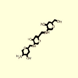 NC1COC(CNC2COC(CNC3COC(CO)CC3O)CC2O)CC1O